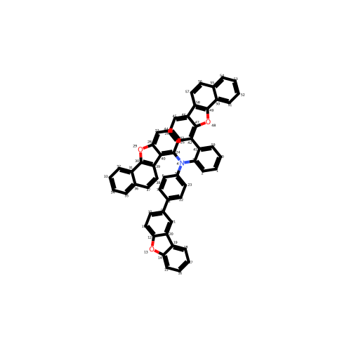 c1ccc(N(c2ccc(-c3ccc4oc5ccccc5c4c3)cc2)c2cccc3oc4c5ccccc5ccc4c23)c(-c2cccc3c2oc2c4ccccc4ccc32)c1